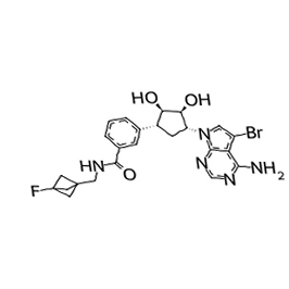 Nc1ncnc2c1c(Br)cn2[C@@H]1C[C@H](c2cccc(C(=O)NCC34CC(F)(C3)C4)c2)[C@@H](O)[C@H]1O